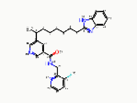 CCC(CCCCCCc1nc2ccccc2[nH]1)c1cncc(C(=O)NCc2ncccc2F)c1